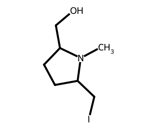 CN1C(CO)CCC1CI